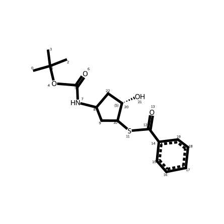 CC(C)(C)OC(=O)NC1CC(SC(=O)c2ccccc2)[C@@H](O)C1